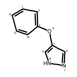 c1ccc(Oc2cn[nH]c2)cc1